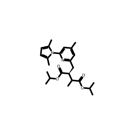 Cc1cc(C[C@H](C(=O)OC(C)C)C(C)C(=O)OC(C)C)nc(-n2c(C)ccc2C)c1